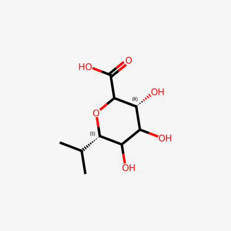 CC(C)[C@@H]1OC(C(=O)O)[C@H](O)C(O)C1O